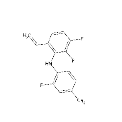 C=Cc1ccc(F)c(F)c1Nc1ccc(C)cc1F